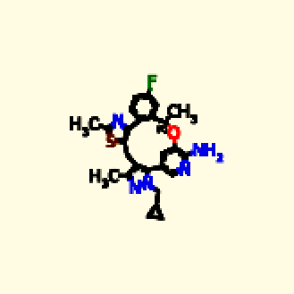 Cc1nc2c(s1)Cc1c(C)nn(CC3CC3)c1-c1cnc(N)c(c1)O[C@H](C)c1cc(F)ccc1-2